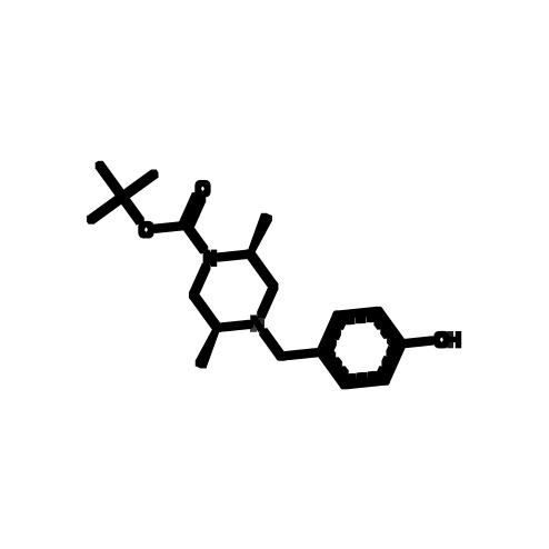 C[C@H]1CN(C(=O)OC(C)(C)C)[C@@H](C)CN1Cc1ccc(O)cc1